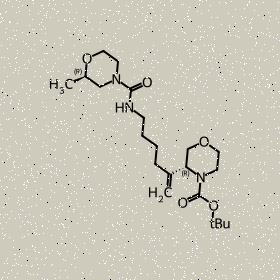 C=C(CCCCNC(=O)N1CCO[C@H](C)C1)[C@@H]1COCCN1C(=O)OC(C)(C)C